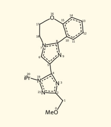 COCc1nc(-c2cn3c(n2)-c2ccccc2OCC3)n(C(C)C)n1